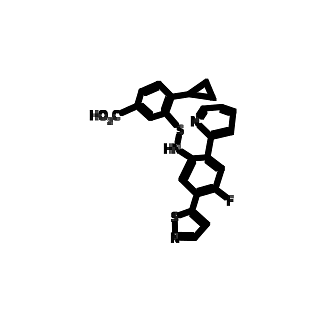 O=C(O)c1ccc(C2CC2)c(SNc2cc(-c3ccns3)c(F)cc2-c2ccccn2)c1